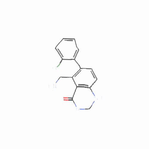 NCc1c(-c2ccccc2Cl)ccc2c1C(=O)NCN2